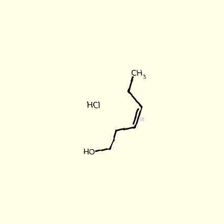 CC/C=C\CCO.Cl